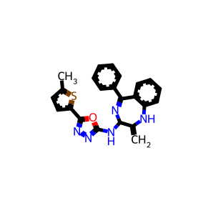 C=C1Nc2ccccc2C(c2ccccc2)=NC1Nc1nnc(-c2ccc(C)s2)o1